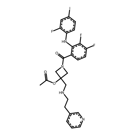 CC(=O)OC1(CNCCc2cccnc2)CN(C(=O)c2ccc(F)c(F)c2Nc2ccc(I)cc2F)C1